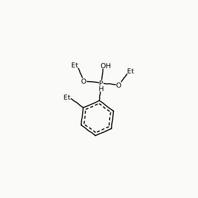 CCO[PH](O)(OCC)c1ccccc1CC